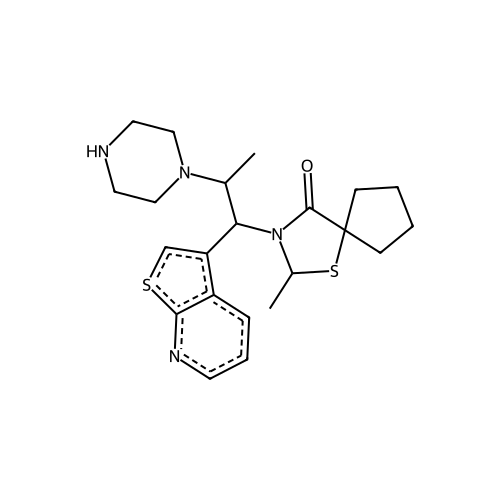 CC(C(c1csc2ncccc12)N1C(=O)C2(CCCC2)SC1C)N1CCNCC1